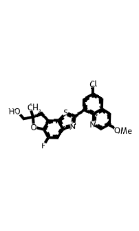 COc1cnc2c(-c3nc4cc(F)c5c(c4s3)CC(C)(CO)O5)cc(Cl)cc2c1